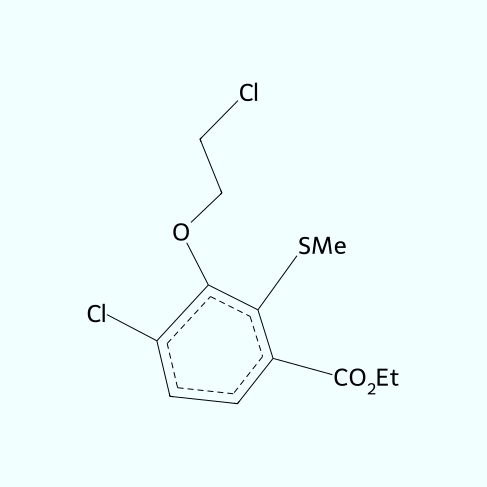 CCOC(=O)c1ccc(Cl)c(OCCCl)c1SC